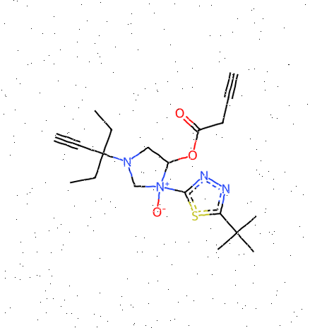 C#CCC(=O)OC1CN(C(C#C)(CC)CC)C[N+]1([O-])c1nnc(C(C)(C)C)s1